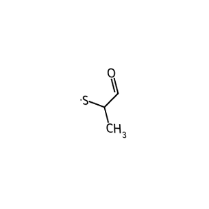 CC([S])C=O